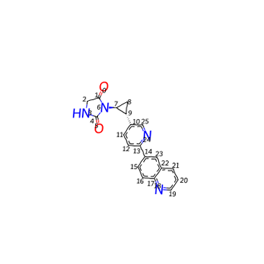 O=C1CNC(=O)N1[C@H]1C[C@@H]1c1ccc(-c2ccc3ncccc3c2)nc1